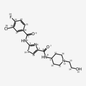 O=C(Nc1nc(C(=O)NC2CCN(CCO)CC2)cs1)c1ccc(F)c(Cl)c1